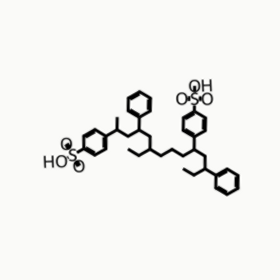 CCC(CCCC(CC(CC)c1ccccc1)c1ccc(S(=O)(=O)O)cc1)CC(CC(C)c1ccc(S(=O)(=O)O)cc1)c1ccccc1